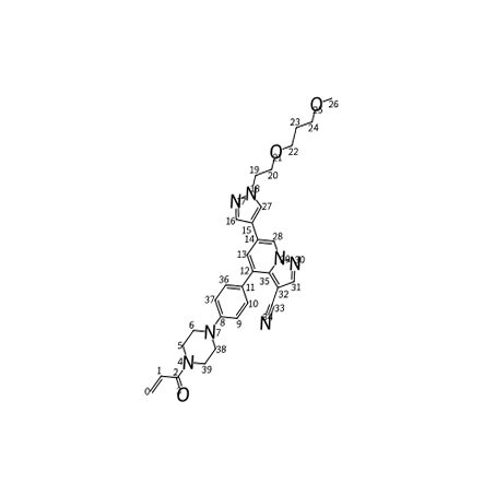 C=CC(=O)N1CCN(c2ccc(-c3cc(-c4cnn(CCOCCCOC)c4)cn4ncc(C#N)c34)cc2)CC1